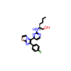 CCCC[C@@H](CO)Nc1nccc(-c2c(-c3ccc(F)cc3)nc3sccn23)n1